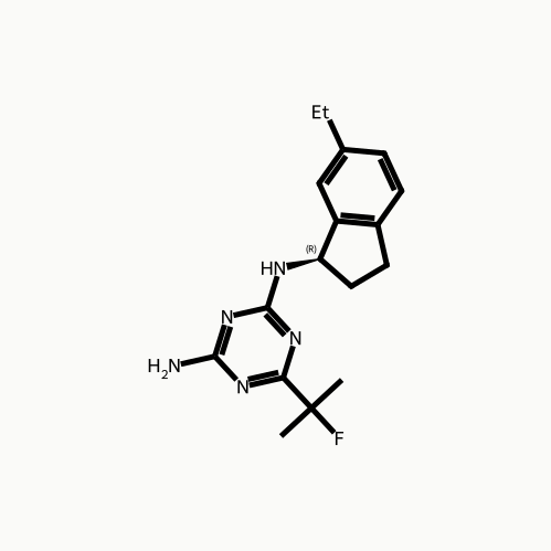 CCc1ccc2c(c1)[C@H](Nc1nc(N)nc(C(C)(C)F)n1)CC2